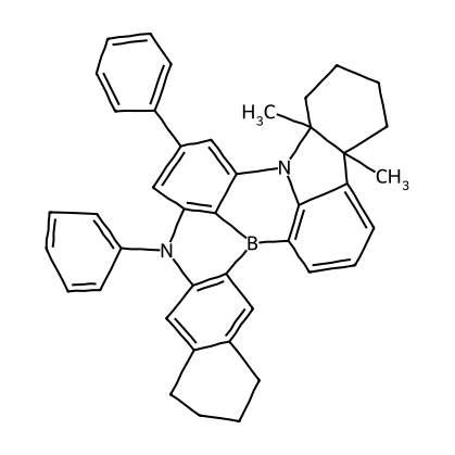 CC12CCCCC1(C)N1c3cc(-c4ccccc4)cc4c3B(c3cc5c(cc3N4c3ccccc3)CCCC5)c3cccc2c31